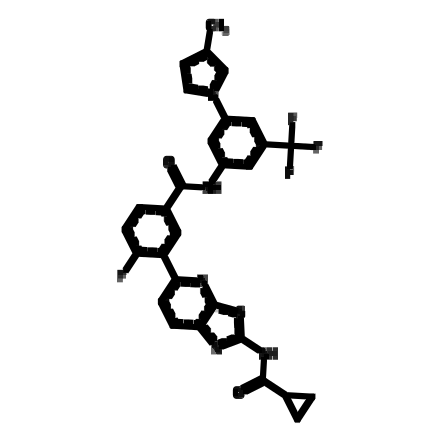 Cc1ccn(-c2cc(NC(=O)c3ccc(F)c(-c4ccc5nc(NC(=O)C6CC6)sc5n4)c3)cc(C(F)(F)F)c2)c1